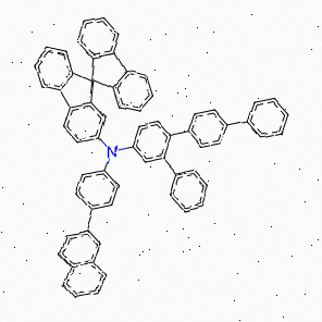 c1ccc(-c2ccc(-c3ccc(N(c4ccc(-c5ccc6ccccc6c5)cc4)c4ccc5c(c4)C4(c6ccccc6-c6ccccc64)c4ccccc4-5)cc3-c3ccccc3)cc2)cc1